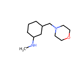 CNC1CCCC(CN2CCOCC2)C1